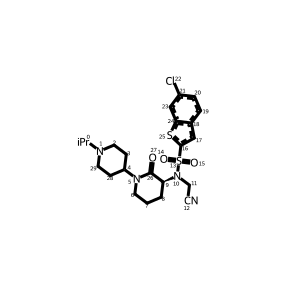 CC(C)N1CCC(N2CCC[C@H](N(CC#N)S(=O)(=O)c3cc4ccc(Cl)cc4s3)C2=O)CC1